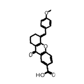 COc1ccc(C=C2CCCc3c2oc2ccc(C(=O)O)cc2c3=O)cc1